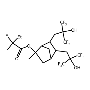 CCC(C)(F)C(=O)OC1(C)CC2CC1C(CC(O)(C(F)(F)F)C(F)(F)F)C2CC(O)(C(F)(F)F)C(F)(F)F